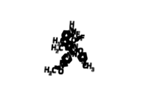 C=CC(=O)N1CC2(CCN(c3nc(OC4CCN(C)CC4)nc4c(OCC(F)F)c(-c5c(C)ccc6[nH]ncc56)c(C=C)cc34)CC2)C1